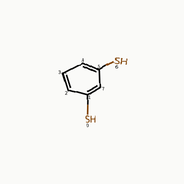 Sc1c[c]cc(S)c1